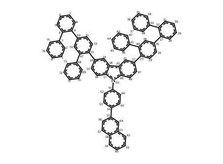 c1ccc(-c2ccccc2-c2ccc(-c3ccc4c(c3)c3cc(-c5ccc(-c6ccccc6-c6ccccc6)cc5-c5ccccc5)ccc3n4-c3ccc(-c4ccc5ccccc5c4)cc3)c(-c3ccccc3)c2)cc1